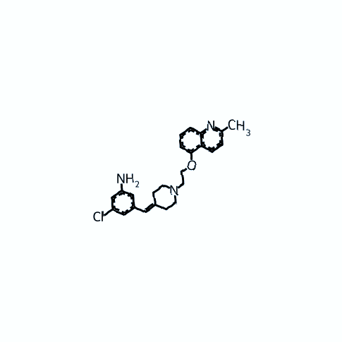 Cc1ccc2c(OCCN3CCC(=Cc4cc(N)cc(Cl)c4)CC3)cccc2n1